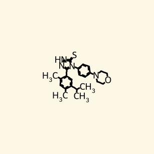 Cc1cc(C)c(C(C)C)cc1-c1n[nH]c(=S)n1-c1ccc(N2CCOCC2)cc1